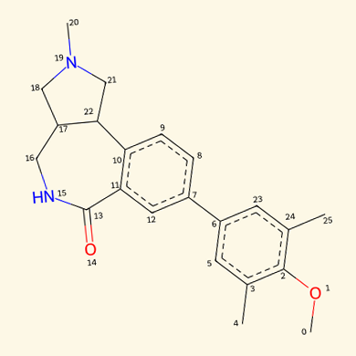 COc1c(C)cc(-c2ccc3c(c2)C(=O)NCC2CN(C)CC32)cc1C